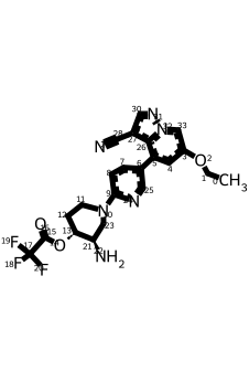 CCOc1cc(-c2ccc(N3CC[C@@H](OC(=O)C(F)(F)F)[C@H](N)C3)nc2)c2c(C#N)cnn2c1